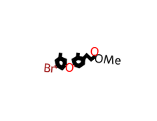 COC(=O)CCc1ccc(Oc2cc(C)cc(Br)c2)cc1C